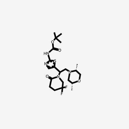 C[C@@H]1CN(CC(c2cnc(NC(=O)OC(C)(C)C)s2)N2CC(F)(F)CCC2=O)[C@H](C)CO1